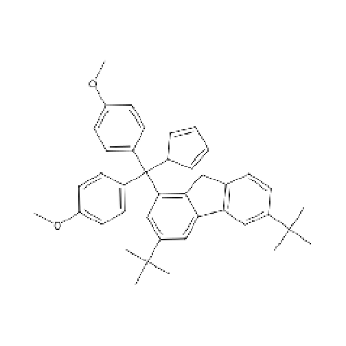 COc1ccc(C(c2ccc(OC)cc2)(c2cc(C(C)(C)C)cc3c2Cc2ccc(C(C)(C)C)cc2-3)C2C=CC=C2)cc1